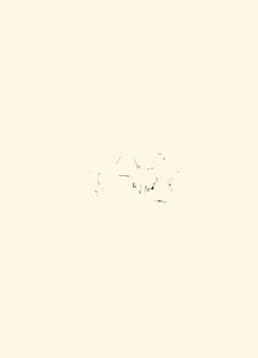 Nc1c(CC(=O)O)cccc1C(=O)c1ccccc1F